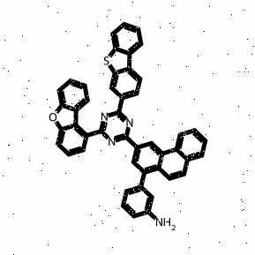 Nc1cccc(-c2cc(-c3nc(-c4ccc5c(c4)sc4ccccc45)nc(-c4cccc5oc6ccccc6c45)n3)cc3c2ccc2ccccc23)c1